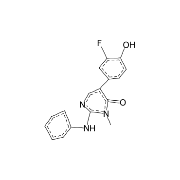 Cn1c(Nc2ccccc2)ncc(-c2ccc(O)c(F)c2)c1=O